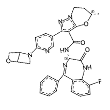 C[C@H]1CCn2nc(-c3ccc(N4CC5OCC54)nc3)c(C(=O)N[C@H]3N=C(c4ccccc4)c4cccc(F)c4NC3=O)c2O1